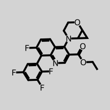 CCOC(=O)c1cnc2c(-c3cc(F)cc(F)c3F)c(F)ccc2c1N1CCOC2CC21